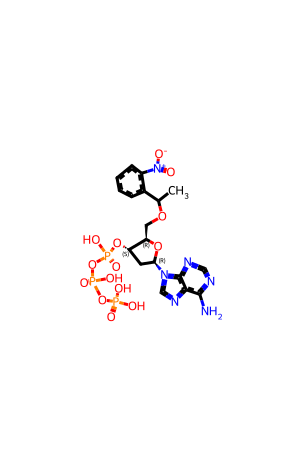 CC(OC[C@H]1O[C@@H](n2cnc3c(N)ncnc32)C[C@@H]1OP(=O)(O)OP(=O)(O)OP(=O)(O)O)c1ccccc1[N+](=O)[O-]